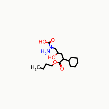 CCCCOC(=O)C(CC(O)CN(N)C(=O)O)C1CCCCC1